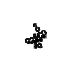 O=C1Nc2ccccc2C(c2ccc(Cl)cc2)=NC1NC(=O)C(Cc1ccccc1)N(S)C(=O)Nc1ccccc1